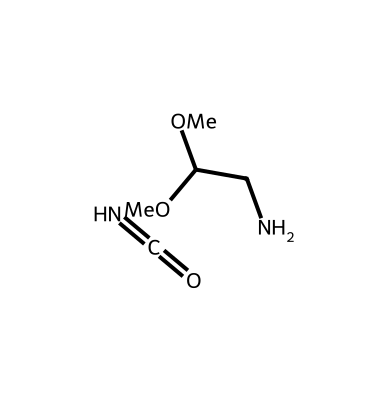 COC(CN)OC.N=C=O